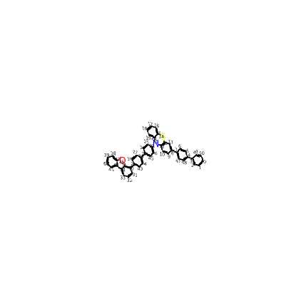 c1ccc(-c2ccc(-c3ccc4c(c3)Sc3ccccc3N4c3ccc(-c4ccc(-c5cccc6c5oc5ccccc56)cc4)cc3)cc2)cc1